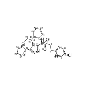 O=S(=O)(CCc1ncc(Cl)cn1)Nc1nnc2n1[C@@H](c1cccnc1)COc1cccnc1-2